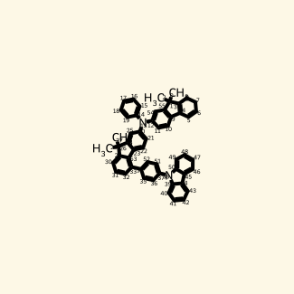 CC1(C)C2=C(C=CCC2)c2ccc(N(c3ccccc3)c3ccc4c(c3)C(C)(C)c3cccc(-c5ccc(-n6c7ccccc7c7ccccc76)cc5)c3-4)cc21